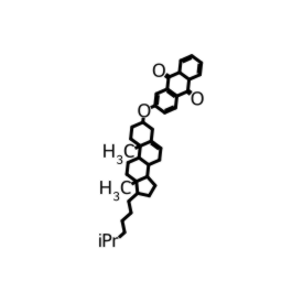 CC(C)CCCCC1CCC2C3CC=C4CC(Oc5ccc6c(c5)C(=O)C5C=CC=CC5C6=O)CCC4(C)C3CCC12C